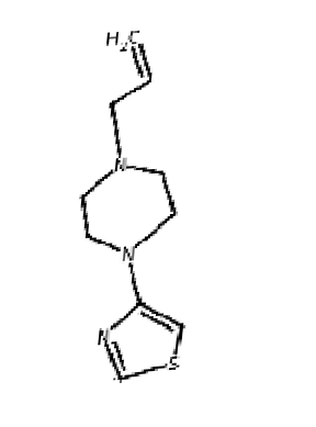 C=CCN1CCN(c2cs[c]n2)CC1